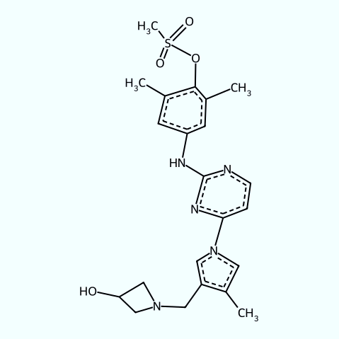 Cc1cn(-c2ccnc(Nc3cc(C)c(OS(C)(=O)=O)c(C)c3)n2)cc1CN1CC(O)C1